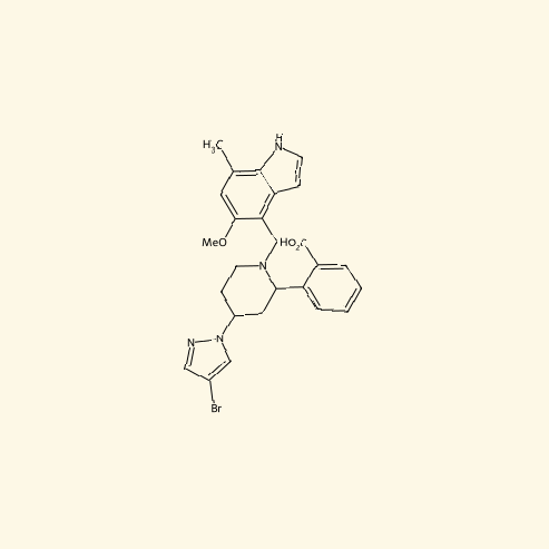 COc1cc(C)c2[nH]ccc2c1CN1CCC(n2cc(Br)cn2)CC1c1ccccc1C(=O)O